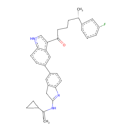 C=C(NC1=Nc2ccc(-c3ccc4[nH]cc(C(=O)CCC[C@H](C)c5cccc(F)c5)c4c3)cc2C1)C1CC1